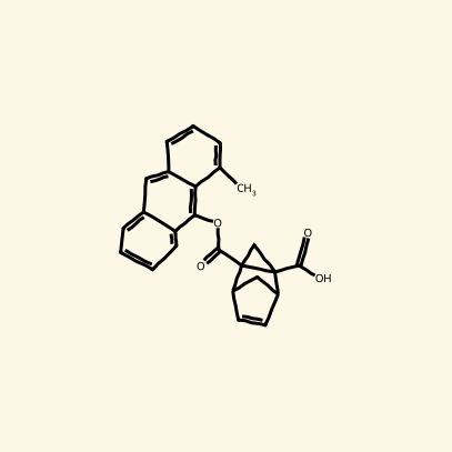 Cc1cccc2cc3ccccc3c(OC(=O)C34CC3(C(=O)O)C3C=CC4C3)c12